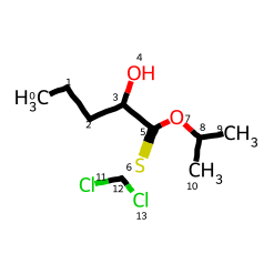 CCCC(O)C(=S)OC(C)C.ClCCl